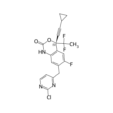 CC(F)(F)[C@@]1(C#CC2CC2)OC(=O)Nc2cc(Cc3ccnc(Cl)n3)c(F)cc21